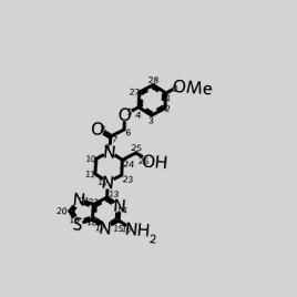 COc1ccc(OCC(=O)N2CCN(c3nc(N)nc4scnc34)CC2CO)cc1